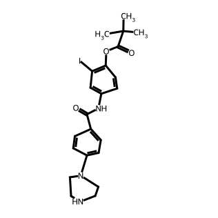 CC(C)(C)C(=O)Oc1ccc(NC(=O)c2ccc(N3CCNCC3)cc2)cc1I